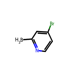 Bc1cc(Br)ccn1